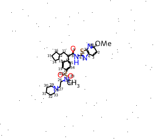 COc1ccc2nc(NC(=O)C(CC3CCCC3)c3ccc(S(=O)(=O)N(C)CCN4CCCCC4)cc3)sc2n1